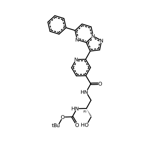 CC(C)(C)OC(=O)N[C@@H](CO)CNC(=O)c1ccnc(-c2cnn3ccc(-c4ccccc4)nc23)c1